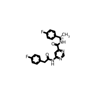 C[C@H](NC(=O)c1cc(NC(=O)Cc2ccc(F)cc2)ncn1)c1ccc(F)cc1